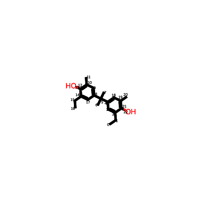 CCc1cc(C(C)(C)c2cc(C)c(O)c(CC)c2)cc(C)c1O